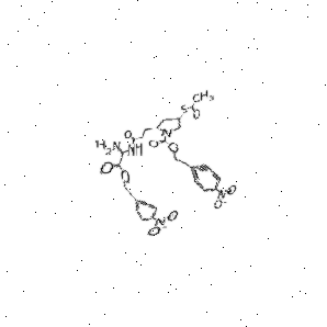 CC(=O)S[C@H]1C[C@H](CCC(=O)NC(N)C(=O)OCc2ccc([N+](=O)[O-])cc2)N(C(=O)OCc2ccc([N+](=O)[O-])cc2)C1